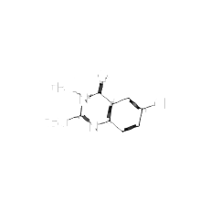 CC(C)(C)c1nc2ccc(Cl)cc2c(=O)n1C(C)(C)C